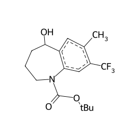 Cc1cc2c(cc1C(F)(F)F)N(C(=O)OC(C)(C)C)CCCC2O